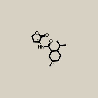 CC(C)C1CC[C@@H](C)CC1C(=O)N[C@@H]1CCOC1=O